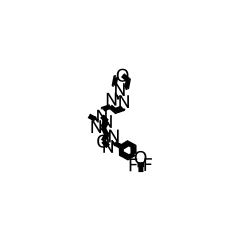 Cc1nc(-c2nc(-c3ccc(OC(C)(F)F)cc3)no2)nn1Cc1ccnc(N2CCOCC2)n1